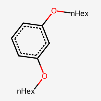 CCCCCCOc1cccc(OCCCCCC)c1